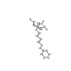 CCO[Si](CSSSSCCC1CCCCC1)(OCC)OCC